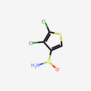 N[S+]([O-])c1csc(Cl)c1Cl